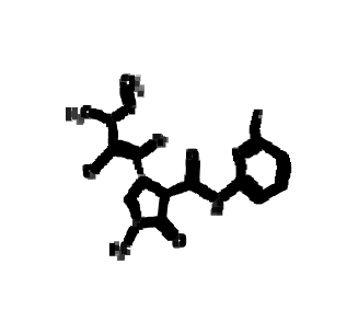 C=NN(C)/C(Cl)=C(\Br)[C@H]1CN(C)C(=O)[C@@H]1C(=O)Nc1cccc(F)n1